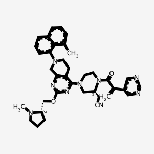 C=C(C(=O)N1CCN(c2nc(OC[C@@H]3CCCN3C)nc3c2CCN(c2cccc4cccc(C)c24)C3)C[C@@H]1CC#N)c1cncnc1